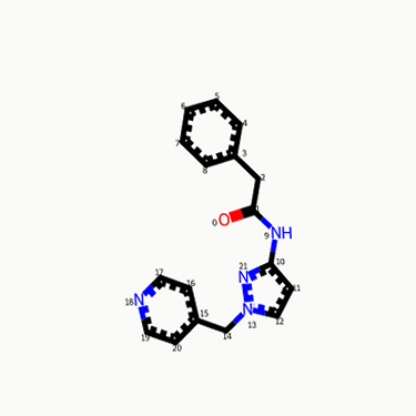 O=C(Cc1ccccc1)Nc1ccn(Cc2ccncc2)n1